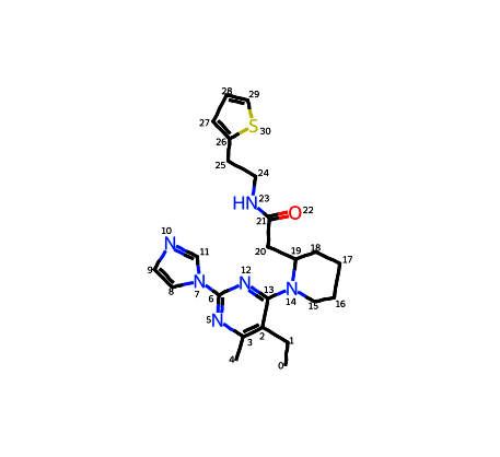 CCc1c(C)nc(-n2ccnc2)nc1N1CCCCC1CC(=O)NCCc1cccs1